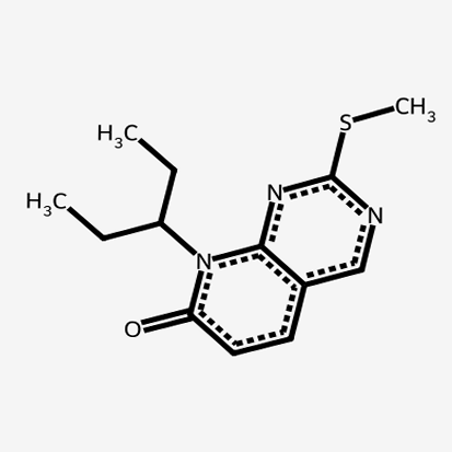 CCC(CC)n1c(=O)ccc2cnc(SC)nc21